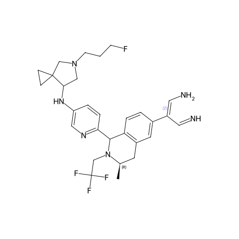 C[C@@H]1Cc2cc(/C(C=N)=C/N)ccc2C(c2ccc(NC3CN(CCCF)CC34CC4)cn2)N1CC(F)(F)F